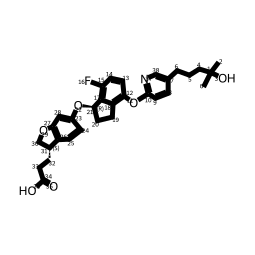 CC(C)(O)CCCc1ccc(Oc2ccc(F)c3c2CC[C@H]3Oc2ccc3c(c2)OC[C@H]3CCC(=O)O)nc1